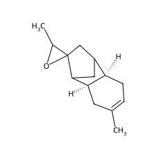 CC1=CC[C@@H]2C3CC([C@@H]2C1)C1(C3)OC1C